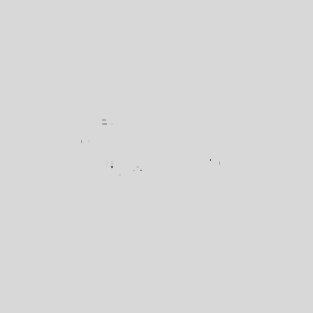 [CH2]CC1CN(C(=O)OCc2ccc([N+](=O)[O-])cc2)CCO1